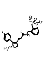 CCOP(=O)(Cc1ccccc1CNC(=O)C=Cc1cnn(C)c1-c1ccc(F)cc1)OCC